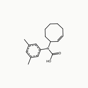 Cc1cc(C)cc(N(C(=O)O)C2C=CCCCCC2)c1